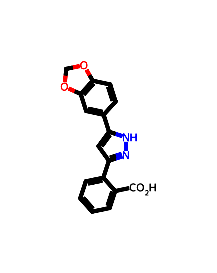 O=C(O)c1ccccc1-c1cc(-c2ccc3c(c2)OCO3)[nH]n1